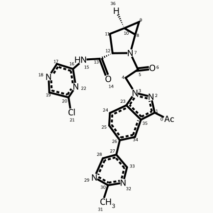 CC(=O)c1nn(CC(=O)N2C3C[C@@H]3C[C@H]2C(=O)Nc2cncc(Cl)n2)c2ccc(-c3cnc(C)nc3)cc12